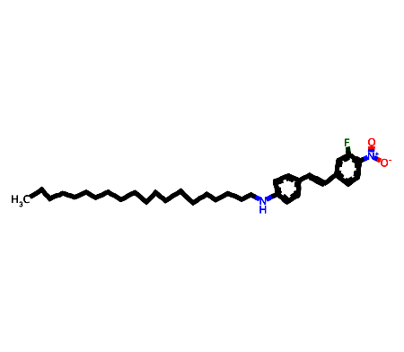 CCCCCCCCCCCCCCCCCCCCNc1ccc(C=Cc2ccc([N+](=O)[O-])c(F)c2)cc1